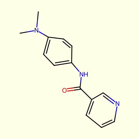 CN(C)c1ccc(NC(=O)c2cccnc2)cc1